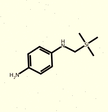 C[Si](C)(C)CNc1ccc(N)cc1